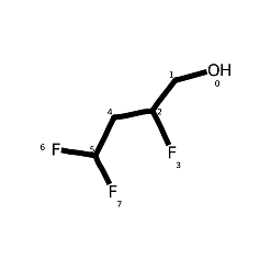 OCC(F)CC(F)F